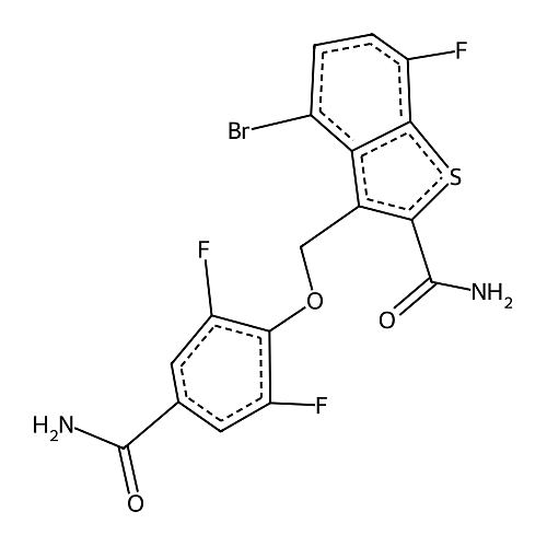 NC(=O)c1cc(F)c(OCc2c(C(N)=O)sc3c(F)ccc(Br)c23)c(F)c1